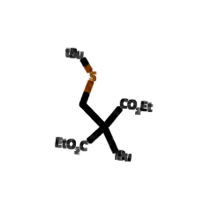 CCOC(=O)C(CSC(C)(C)C)(C(=O)OCC)C(C)CC